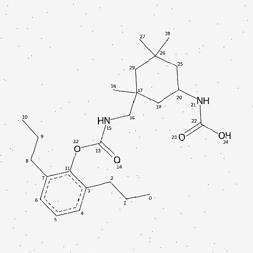 CCCc1cccc(CCC)c1OC(=O)NCC1(C)CC(NC(=O)O)CC(C)(C)C1